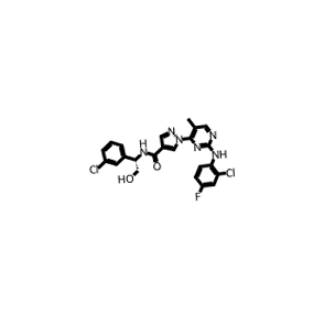 Cc1cnc(Nc2ccc(F)cc2Cl)nc1-n1cc(C(=O)N[C@H](CO)c2cccc(Cl)c2)cn1